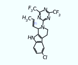 C/C=C/C1c2[nH]c3ccc(Cl)cc3c2CCN1c1nc(C(F)(F)F)nc(C(F)(F)F)n1